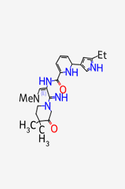 CCc1cc(C2C=CC=C(C(=O)N/C(=C/NC)C(=N)N3CCC(C)(C)C(=O)C3)N2)c[nH]1